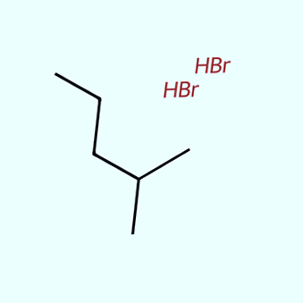 Br.Br.CCCC(C)C